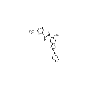 COc1cc2nc(C3C4COCC43)cn2cc1C(=O)Nc1cccc(C(F)(F)F)n1